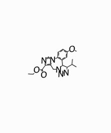 CCOC(=O)c1ncn2c1CN1N=NC(C(C)C)C1c1cc(OC)ccc1-2